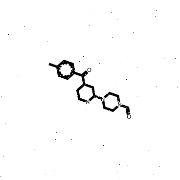 Cc1ccc(C(=O)C2CC[N]C(N3CCN(C=O)CC3)C2)cc1